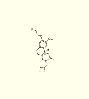 COc1cc2c(cc1OCCF)CCN1C[C@@H](CC3CCC3)N(C)C[C@H]21